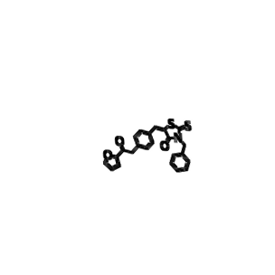 O=C(Cc1ccc(/C=C2/SC(=S)N(Cc3ccccc3)C2=O)cc1)c1ccco1